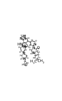 CC1(C)Cc2cc3c(=O)n(-c4nccc(-c5cc(Nc6ccc(N7CCN(C8COC8)CC7)cn6)c6ncnn6c5)c4CO)ccn3c2C1